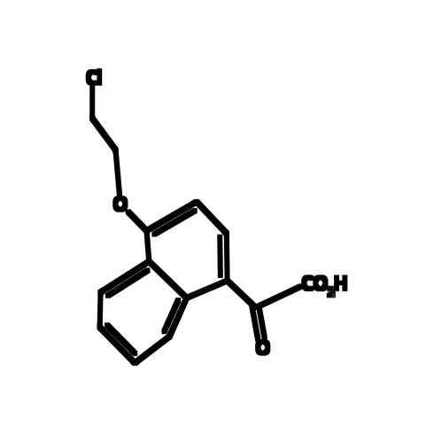 O=C(O)C(=O)c1ccc(OCCCl)c2ccccc12